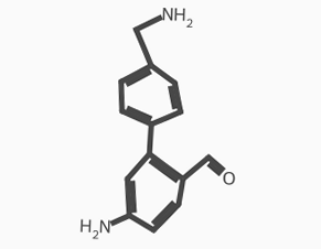 NCc1ccc(-c2cc(N)ccc2C=O)cc1